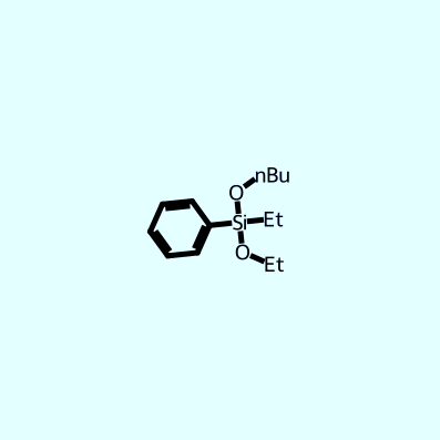 CCCCO[Si](CC)(OCC)c1ccccc1